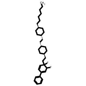 CCCCCCC[C@H]1CC[C@H](CC[C@H]2CC[C@H](CCC3(F)C=CC(c4ccccc4)=CC3F)CC2)CC1